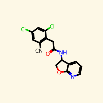 N#Cc1cc(Cl)cc(Cl)c1CC(=O)NC1COc2ncccc21